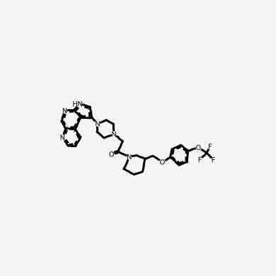 O=C(CN1CCN(c2c[nH]c3ncc4ncccc4c23)CC1)N1CCCC(COc2ccc(OC(F)(F)F)cc2)C1